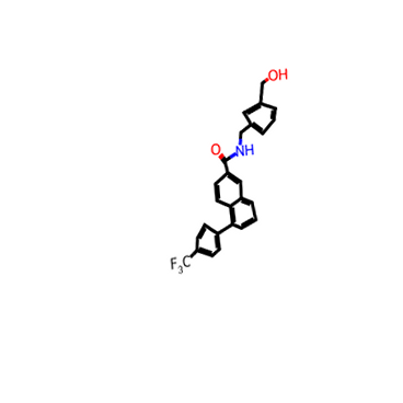 O=C(NCc1cccc(CO)c1)c1ccc2c(-c3ccc(C(F)(F)F)cc3)cccc2c1